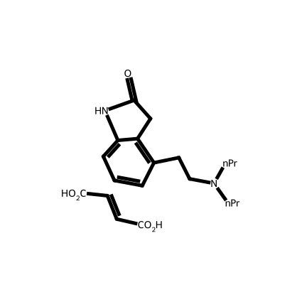 CCCN(CCC)CCc1cccc2c1CC(=O)N2.O=C(O)/C=C/C(=O)O